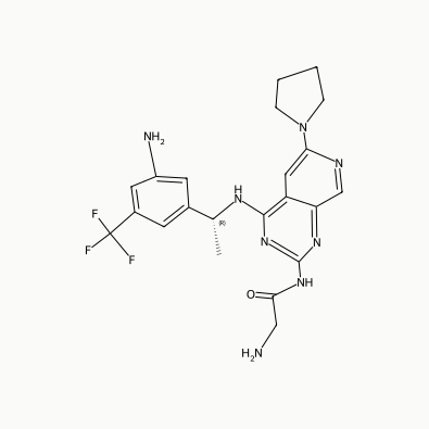 C[C@@H](Nc1nc(NC(=O)CN)nc2cnc(N3CCCC3)cc12)c1cc(N)cc(C(F)(F)F)c1